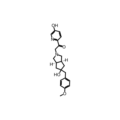 COc1ccc(CC2(O)C[C@H]3CN(CC(=O)c4ccc(O)cn4)C[C@H]3C2)cc1